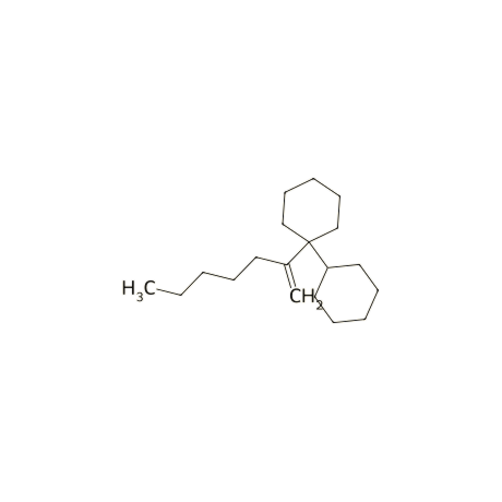 C=C(CCCCC)C1(C2CCCCC2)CCCCC1